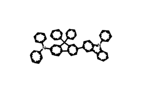 c1ccc(N(c2ccccc2)c2ccc3c(c2)C(c2ccccc2)(c2ccccc2)c2cc(-c4ccc5c(c4)c4ccccc4n5-c4ccccc4)ccc2-3)cc1